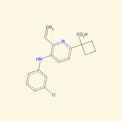 C=Cc1nc(C2(C(=O)O)CCC2)ccc1Nc1cccc(Cl)c1